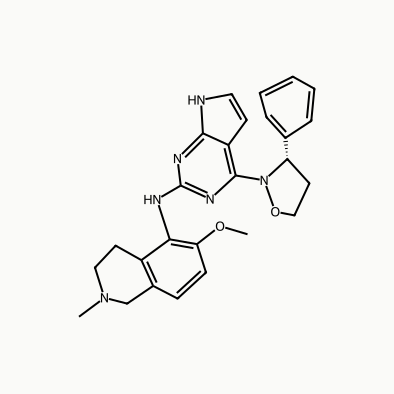 COc1ccc2c(c1Nc1nc(N3OCC[C@H]3c3ccccc3)c3cc[nH]c3n1)CCN(C)C2